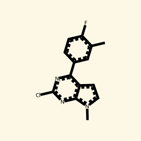 Cc1cc(-c2nc(Cl)nc3c2ccn3C)ccc1F